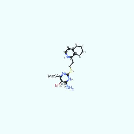 CSc1nc(SCCc2nccc3c2CCCC3)nc(N)c1Br